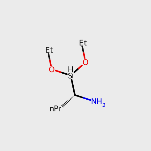 CCC[C@@H](N)[SiH](OCC)OCC